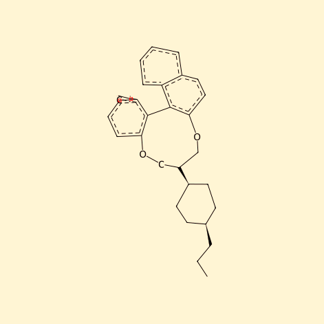 CCC[C@H]1CC[C@@H](C2COc3ccc4ccccc4c3-c3c(ccc4ccccc34)OC2)CC1